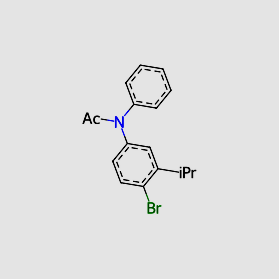 CC(=O)N(c1ccccc1)c1ccc(Br)c(C(C)C)c1